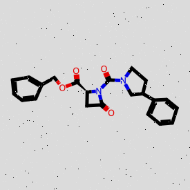 O=C(OCc1ccccc1)[C@@H]1CC(=O)N1C(=O)N1CCC(c2ccccc2)C1